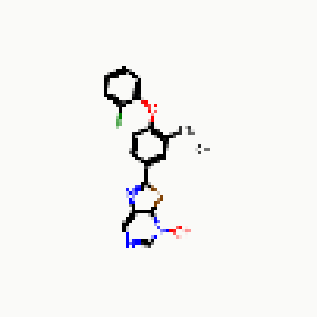 N#Cc1cc(C2=NC3=CN=CN(O)C3S2)ccc1Oc1ccccc1F.[KH]